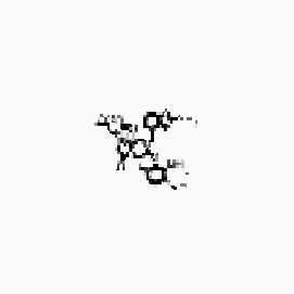 C=CCN(C(=O)NC)N1CC(=O)N2[C@@H](Cc3ccc(O)c(N)c3)C(=O)N(Cc3cccc4sc(N)nc34)C[C@@H]21